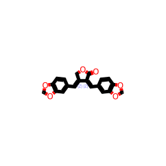 O=C1OCC(=C\c2ccc3c(c2)OCO3)/C1=C/c1ccc2c(c1)OCO2